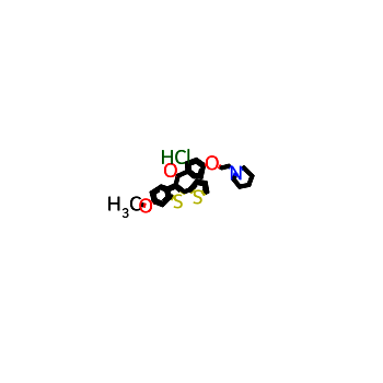 COc1ccc2c(C(=O)c3ccc(OCCN4CCCCC4)cc3)c(-c3cccs3)sc2c1.Cl